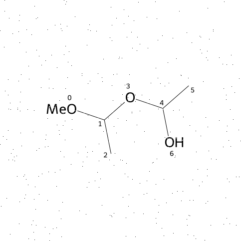 COC(C)OC(C)O